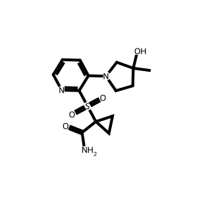 CC1(O)CCN(c2cccnc2S(=O)(=O)C2(C(N)=O)CC2)C1